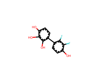 Oc1ccc(-c2ccc(O)c(F)c2F)c(O)c1O